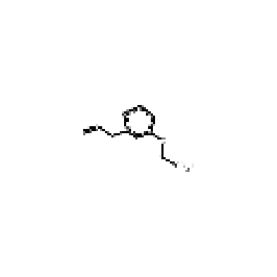 C=CCc1cccc(OCC(=O)O)c1